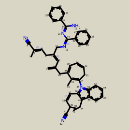 C=C(/C=C(\C/C=C(\C)C#N)C/N=C(\N=C(/N)c1ccccc1)c1ccccc1)CC1=CC=CCC(n2c(/C=C\C(C)C#N)c(CC)c3ccccc32)=C1C